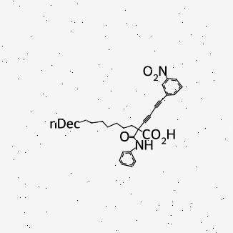 CCCCCCCCCCCCCCCCCC(C#CC#Cc1cccc([N+](=O)[O-])c1)(C(=O)O)C(=O)Nc1ccccc1